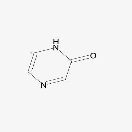 O=c1cnc[c][nH]1